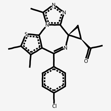 CC(=O)[C@@H]1C[C@]12N=C(c1ccc(Cl)cc1)c1c(sc(C)c1C)-n1c(C)nnc12